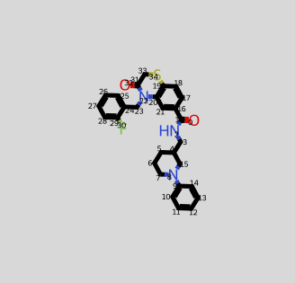 O=C(NCC1CCCN(c2ccccc2)C1)c1ccc2c(c1)N(Cc1ccccc1F)C(=O)CS2